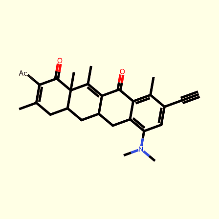 C#Cc1cc(N(C)C)c2c(c1C)C(=O)C1=C(C)C3(C)C(=O)C(C(C)=O)=C(C)CC3CC1C2